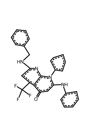 O=c1cc(Nc2ccccc2)n(-c2ccccc2)c2nc(NCc3ccccc3)cc(C(F)(F)F)c12